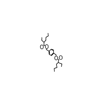 CCCCC(CC)C(=O)OCc1ccc(COC(=O)C(CC)CCCC)cc1